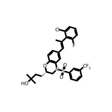 C/C(=C\c1ccc2c(c1)N(S(=O)(=O)c1cccc(C(F)(F)F)c1)C[C@H](CCC(C)(C)O)O2)c1c(F)cccc1Cl